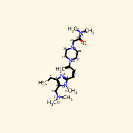 C=C(/C=C\c1nc(CC)c(CN(C)C)n1C)N1CCN(CC(=O)N(C)C)CC1